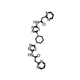 O=C(Cc1ncccn1)Nc1nnc([C@H]2CCC[C@H](c3nnc(NC(=O)Cc4ncccn4)s3)C2)s1